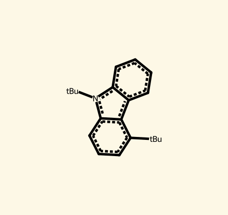 CC(C)(C)c1cccc2c1c1ccccc1n2C(C)(C)C